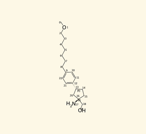 COCCCCCCCc1ccc([C@@H]2CC[C@](N)(CO)C2)cc1